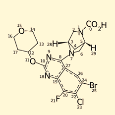 O=C(O)N1C[C@@H]2C[C@H]1CN2c1nc(OC2CCOCC2)nc2c(F)c(Cl)c(Br)cc12